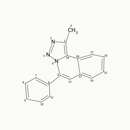 Cc1nnn2c(-c3ccccc3)cc3ccccc3c12